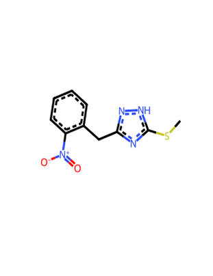 CSc1nc(Cc2ccccc2[N+](=O)[O-])n[nH]1